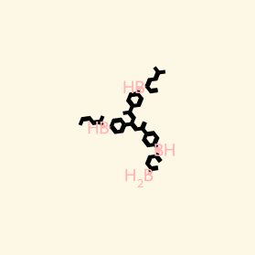 BC(=C)/C=C\C(=C)Bc1ccc(C(=C)/C=C(\C=C(/C)c2ccc(B/C(C=C)=C/C=C(C)C)cc2)c2ccc(B/C(C)=C/C=C\C)cc2)cc1